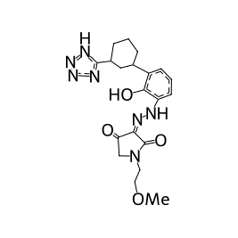 COCCN1CC(=O)/C(=N/Nc2cccc(C3CCCC(c4nnn[nH]4)C3)c2O)C1=O